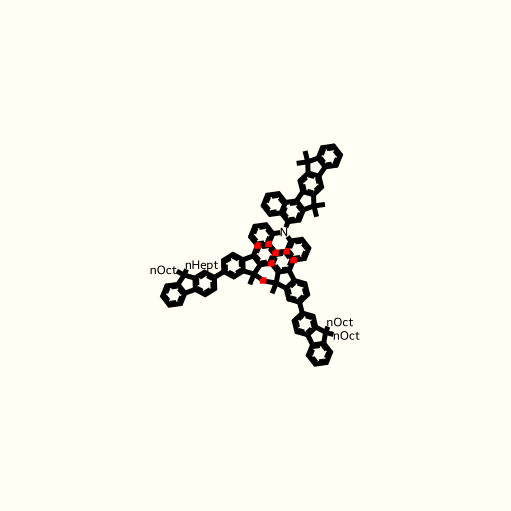 CCCCCCCCC1(CCCCCCC)c2ccccc2-c2ccc(-c3ccc4c(c3)C(C)(C)c3cc(-c5ccccc5N(c5ccccc5-c5ccc6c(c5)C(C)(C)c5cc(-c7ccc8c(c7)C(CCCCCCCC)(CCCCCCCC)c7ccccc7-8)ccc5-6)c5cc6c(c7ccccc57)-c5cc7c(cc5C6(C)C)-c5ccccc5C7(C)C)ccc3-4)cc21